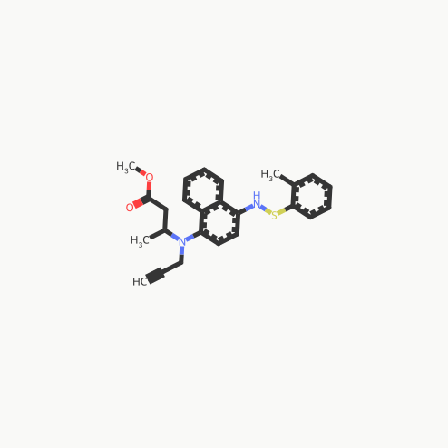 C#CCN(c1ccc(NSc2ccccc2C)c2ccccc12)C(C)CC(=O)OC